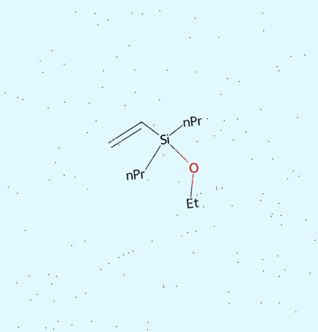 C=C[Si](CCC)(CCC)OCC